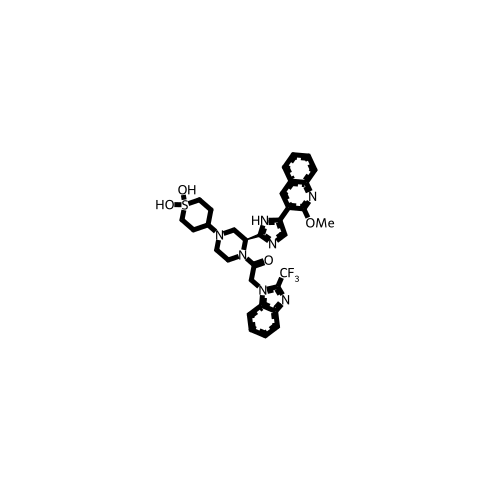 COc1nc2ccccc2cc1-c1cnc([C@@H]2CN(C3CCS(O)(O)CC3)CCN2C(=O)Cn2c(C(F)(F)F)nc3ccccc32)[nH]1